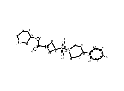 O=C(OC1CCCOC1)N1CC(S(=O)(=O)N2CCC(c3ccncc3)CC2)C1